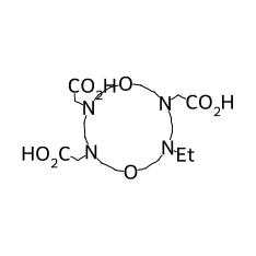 CCN1CCOCCN(CC(=O)O)CCN(CC(=O)O)CCOCCN(CC(=O)O)CC1